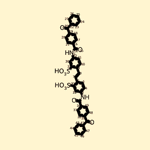 O=C(Nc1ccc(/C=C/c2ccc(NC(=O)c3ccc(C(=O)c4ccccc4)cc3)cc2S(=O)(=O)O)c(S(=O)(=O)O)c1)c1ccc(C(=O)c2ccccc2)cc1